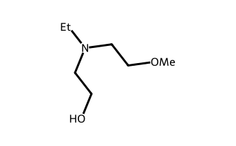 CCN(CCO)CCOC